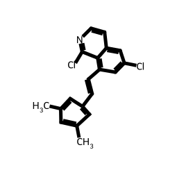 Cc1cc(C)cc(/C=C/c2cc(Cl)cc3ccnc(Cl)c23)c1